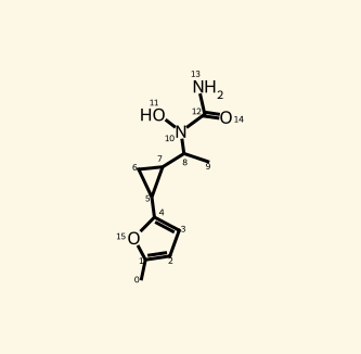 Cc1ccc(C2CC2C(C)N(O)C(N)=O)o1